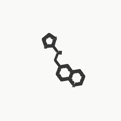 c1cnc2ccc(CNc3nccs3)cc2c1